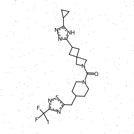 O=C(N1CCC(Cc2nc(C(F)(F)I)ns2)CC1)N1CC2(CC(c3nnc(C4CC4)[nH]3)C2)C1